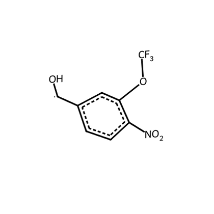 O=[N+]([O-])c1ccc([CH]O)cc1OC(F)(F)F